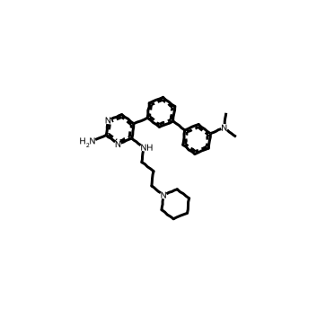 CN(C)c1cccc(-c2cccc(-c3cnc(N)nc3NCCCN3CCCCC3)c2)c1